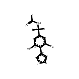 CC(=O)NC(C)(C)c1cc(F)c(-c2ccsc2)c(F)c1